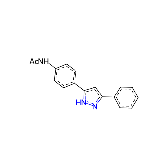 CC(=O)Nc1ccc(-c2cc(-c3ccccc3)n[nH]2)cc1